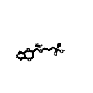 O=S(=O)([O-])CCCOCC1COc2cscc2O1.[Na+]